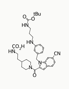 CC(C)(C)OC(=O)NCCCNc1cccc(Cn2c(C(=O)N3CCC(CCNC(=O)O)CC3)cc3ccc(C#N)cc32)c1